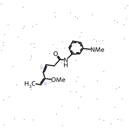 C/C=C(\C=C/CC(=O)Nc1cccc(NC)c1)OC